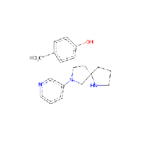 O=C(O)c1ccc(O)cc1.c1cncc(N2CC[C@@]3(CCCN3)C2)c1